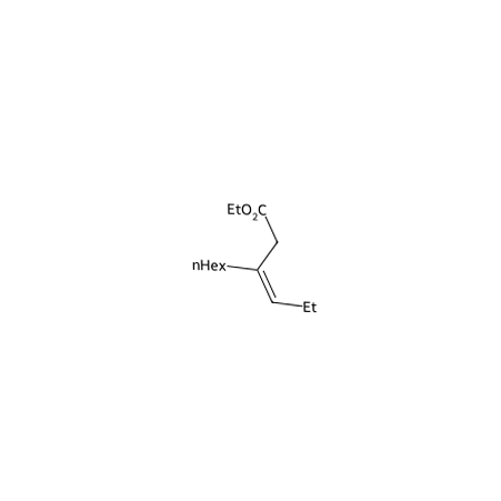 CCC=C(CCCCCC)CC(=O)OCC